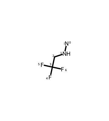 [N]NCC(F)(F)F